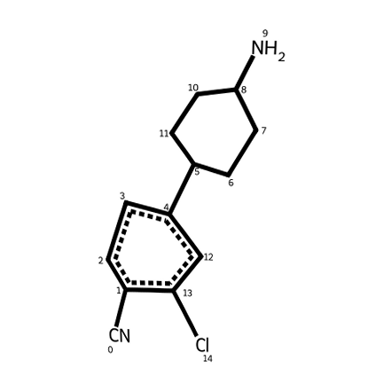 N#Cc1ccc(C2CCC(N)CC2)cc1Cl